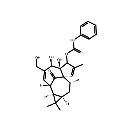 CC1=C[C@]23C(=O)[C@@H](C=C(CO)[C@@H](O)[C@]2(O)C1OC(=O)Nc1ccccc1)[C@H]1[C@@H](C[C@H]3C)C1(C)C